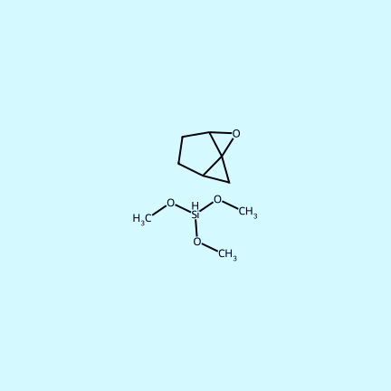 C1CC2OC23CC13.CO[SiH](OC)OC